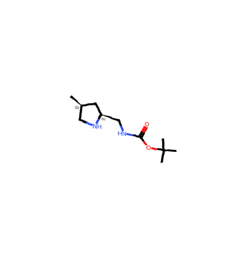 C[C@@H]1CN[C@H](CNC(=O)OC(C)(C)C)C1